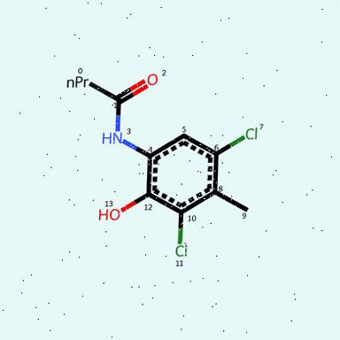 CCCC(=O)Nc1cc(Cl)c(C)c(Cl)c1O